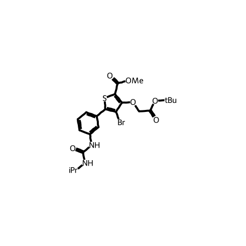 COC(=O)c1sc(-c2cccc(NC(=O)NC(C)C)c2)c(Br)c1OCC(=O)OC(C)(C)C